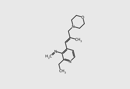 C=Nc1c(/C=C(\C)CN2CCOCC2)ccnc1CC